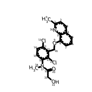 Cc1ccc2cccc(OCc3c(Cl)ccc(N(C)C(=O)CO)c3Cl)c2n1